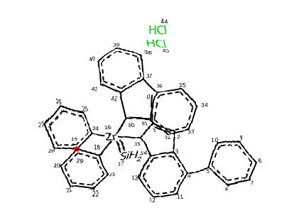 CC1=Cc2c(-c3ccccc3)cccc2[CH]1[Zr](=[SiH2])([c]1ccccc1)([c]1ccccc1)[CH]1c2ccccc2-c2ccccc21.Cl.Cl